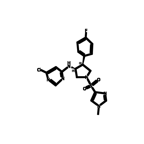 Cn1cnc(S(=O)(=O)N2C[C@H](Nc3cc(Cl)ncn3)[C@@H](c3ccc(F)cc3)C2)c1